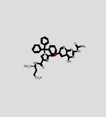 CC(C)(C)C(=O)Nc1nc(O)c2cc(C#Cc3nc(C(=O)N[C@@H](CCC(=O)O)C(=O)O)cn3C(c3ccccc3)(c3ccccc3)c3ccccc3)cnc2n1